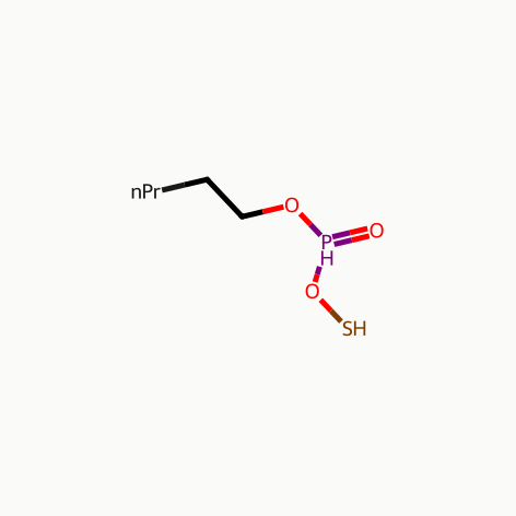 CCCCCO[PH](=O)OS